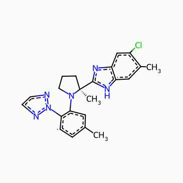 Cc1c[c]c(-n2nccn2)c(N2CCC[C@@]2(C)c2nc3cc(Cl)c(C)cc3[nH]2)c1